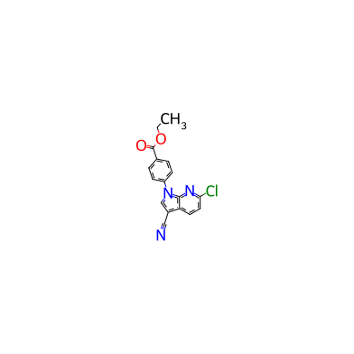 CCOC(=O)c1ccc(-n2cc(C#N)c3ccc(Cl)nc32)cc1